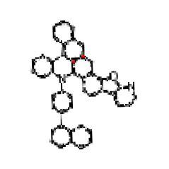 c1ccc(N(c2ccc(-c3cccc4ccccc34)cc2)c2cccc3c2ccc2c4cccnc4oc32)c(-c2cccc3ccccc23)c1